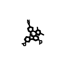 COc1ccc2c(c1)c1cc(OC)ccc1n2-c1ccc(C#N)cc1-c1c(C)cc(C)cc1C